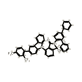 O=C1c2c(cccc2-n2c3ccccc3c3cc(-c4ccc(C(F)(F)F)cc4C(F)(F)F)ccc32)C(O)N1c1ccc(-c2ccccc2)cc1-c1ccccc1